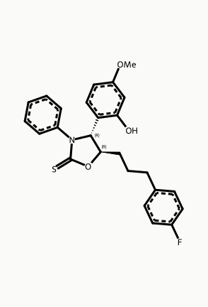 COc1ccc([C@@H]2[C@@H](CCCc3ccc(F)cc3)OC(=S)N2c2ccccc2)c(O)c1